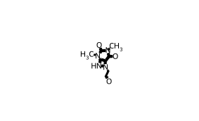 Cn1c(=O)c2c([nH]n2CC=O)n(C)c1=O